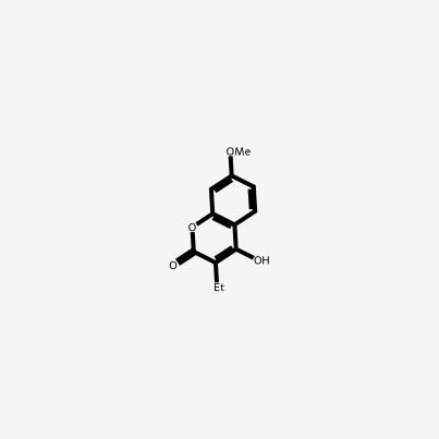 CCc1c(O)c2ccc(OC)cc2oc1=O